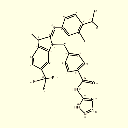 Cc1cc(N=c2n(C)c3ccc(C(F)(F)F)cc3n2Cc2ccc(C(=O)Nc3nnn[nH]3)cc2)ccc1C(C)C